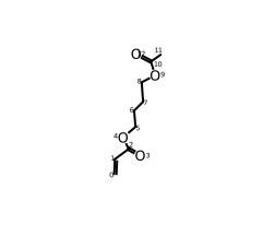 C=CC(=O)OCCCCOC(C)=O